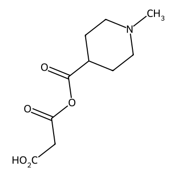 CN1CCC(C(=O)OC(=O)CC(=O)O)CC1